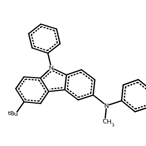 CN(c1ccccc1)c1ccc2c(c1)c1cc(C(C)(C)C)ccc1n2-c1ccccc1